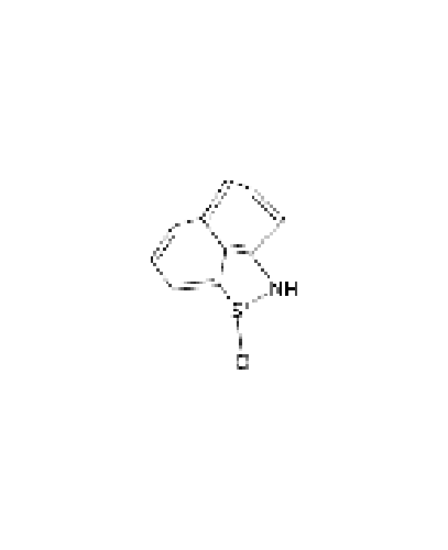 [O-][S+]1Nc2cccc3cccc1c23